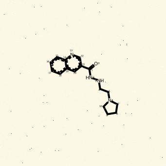 O=C(NNCCN1CCCC1)c1cnc2ccccc2c1